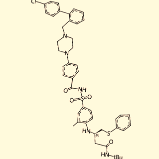 Cc1cc(S(=O)(=O)NC(=O)c2ccc(N3CCN(Cc4ccccc4-c4ccc(Cl)cc4)CC3)cc2)ccc1N[C@@H](CSc1ccccc1)CC(=O)NC(C)(C)C